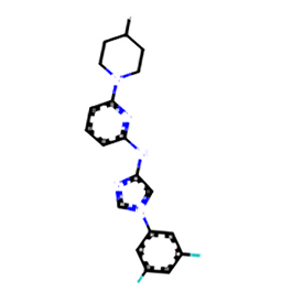 CC1CCN(c2cccc(Nc3cn(-c4cc(F)cc(F)c4)cn3)n2)CC1